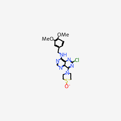 COc1ccc(CNc2ncnc3c(N4CC[S+]([O-])CC4)nc(Cl)nc23)cc1OC